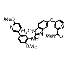 CNC(=O)c1cc(Oc2ccc3c(c2)nc(Nc2cc(-c4ccc(OC)nc4)ccc2OC)n3C)ccn1